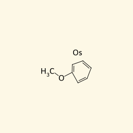 COc1ccccc1.[Os]